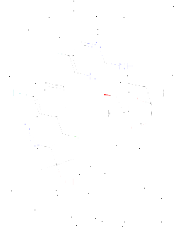 CC(C)(O)c1nnc2c(F)cc(-c3nc(N[C@@H]4C[C@H]5CO[C@H](O5)[C@H]4O)ncc3F)cc2c1Cl